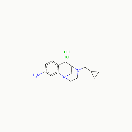 Cl.Cl.Nc1ccc2c(c1)N1CCN(CC3CC3)C(C2)C1